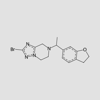 CC(c1ccc2c(c1)OCC2)N1CCn2nc(Br)nc2C1